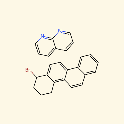 BrC1CCCc2c1ccc1c2ccc2ccccc21.c1cnc2ncccc2c1